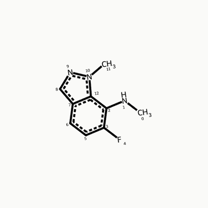 CNc1c(F)ccc2cnn(C)c12